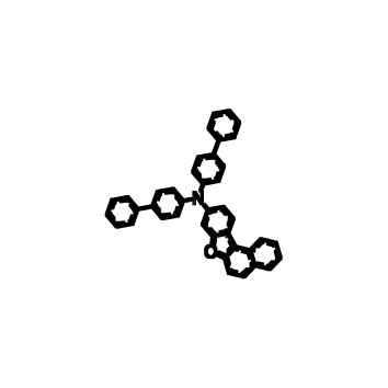 c1ccc(-c2ccc(N(c3ccc(-c4ccccc4)cc3)c3ccc4c(c3)oc3ccc5ccccc5c34)cc2)cc1